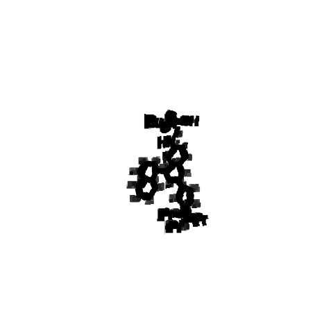 CCC(C)OP(=O)(O)CNc1ccc2cc(-c3ccn([Si](C(C)C)(C(C)C)C(C)C)c3)cc(-c3cccc4ccccc34)c2n1